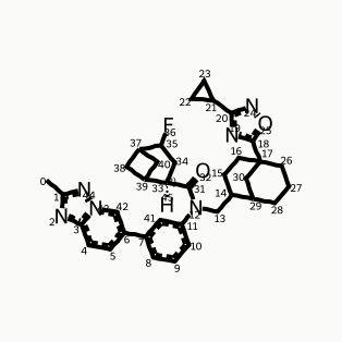 Cc1nc2ccc(-c3cccc(N(CC4CCC5(c6nc(C7CC7)no6)CCCC4C5)C(=O)[C@@H]4CC(F)C5CC4C5)c3)cn2n1